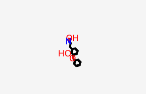 ON=CCc1cccc(Oc2ccccc2)c1O